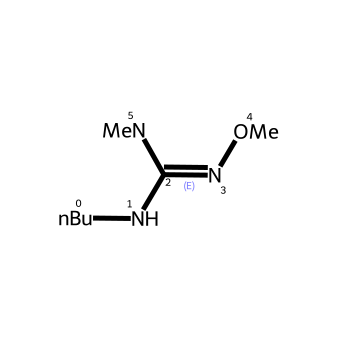 CCCCN/C(=N/OC)NC